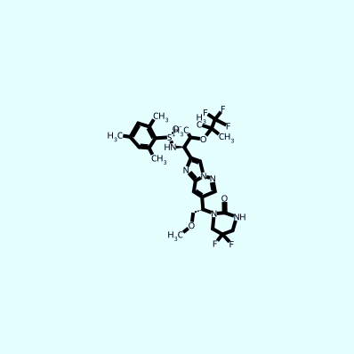 COC[C@H](c1cnn2cc([C@@H](N[S@@+]([O-])c3c(C)cc(C)cc3C)C(C)OC(C)(C)C(F)(F)F)nc2c1)N1CC(F)(F)CNC1=O